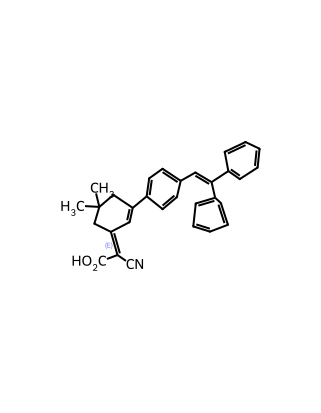 CC1(C)CC(c2ccc(C=C(c3ccccc3)c3ccccc3)cc2)=C/C(=C(\C#N)C(=O)O)C1